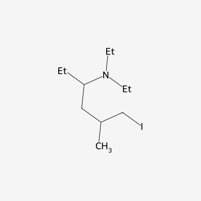 CCC(CC(C)CI)N(CC)CC